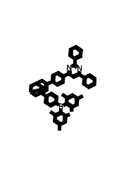 Cc1cc(C)c(B(c2ccc(C34CC5CC(C3)CC(c3ccc(-c6cc(-c7ccccc7)nc(-c7ccccc7)n6)cc3)(C5)C4)cc2)c2c(C)cc(C)cc2C)c(C)c1